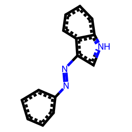 c1ccc(N=Nc2c[nH]c3ccccc23)cc1